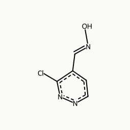 ON=Cc1ccnnc1Cl